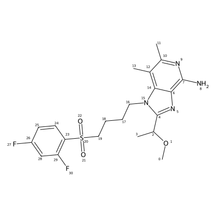 COC(C)c1nc2c(N)nc(C)c(C)c2n1CCCCS(=O)(=O)c1ccc(F)cc1F